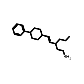 BCCC(/C=C/C1CCC(c2ccccc2)CC1)CCC